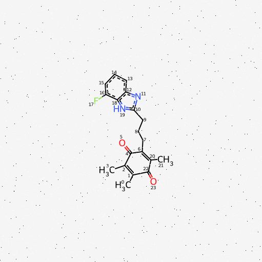 CC1=C(C)C(=O)C(CCCc2nc3cccc(F)c3[nH]2)=C(C)C1=O